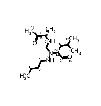 CCCCNN(CN[C@@H](C)C(C)=O)[C@H](C=O)CC(C)C